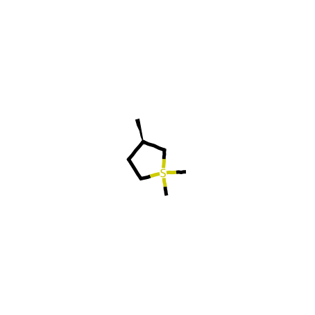 C[C@@H]1CCS(C)(C)C1